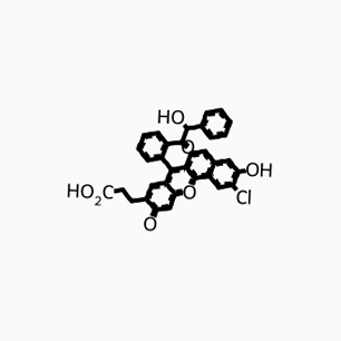 O=C(O)CCc1cc2c(-c3ccccc3C(=O)C(O)c3ccccc3)c3ccc4cc(O)c(Cl)cc4c3oc-2cc1=O